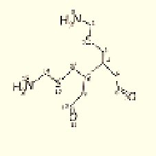 NCSCC(CC=O)C(CC=O)CSCN